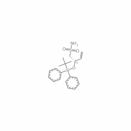 C=C[C@@H](CS(N)(=O)=O)O[Si](c1ccccc1)(c1ccccc1)C(C)(C)C